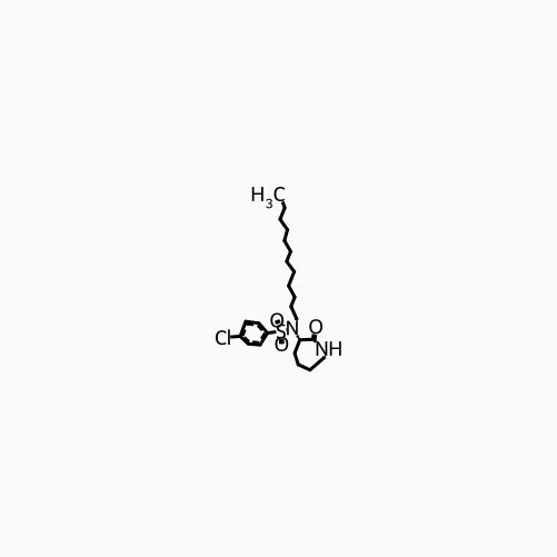 CCCCCCCCCCCCN([C@@H]1CCCCNC1=O)S(=O)(=O)c1ccc(Cl)cc1